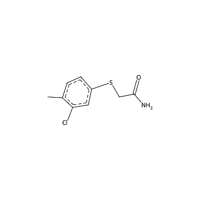 Cc1ccc(SCC(N)=O)cc1Cl